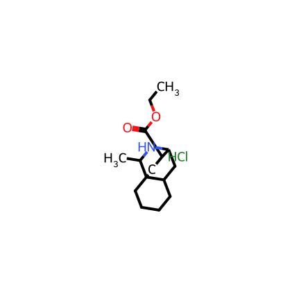 CCOC(=O)C1CC23CCCCC2CC1NC3C.Cl